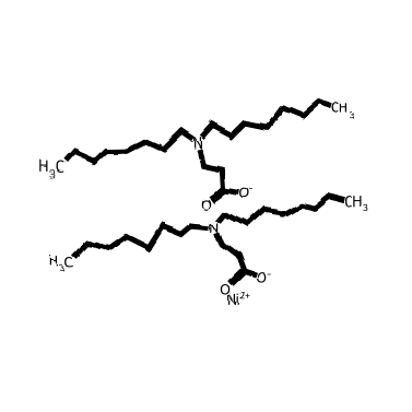 CCCCCCCCN(CCCCCCCC)CCC(=O)[O-].CCCCCCCCN(CCCCCCCC)CCC(=O)[O-].[Ni+2]